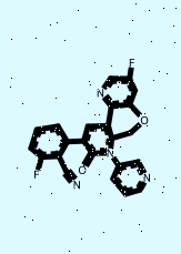 N#Cc1c(F)cccc1-c1cc2c(n(-c3cccnc3)c1=O)COc1cc(F)cnc1-2